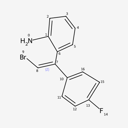 Nc1ccccc1/C(=C\Br)c1ccc(F)cc1